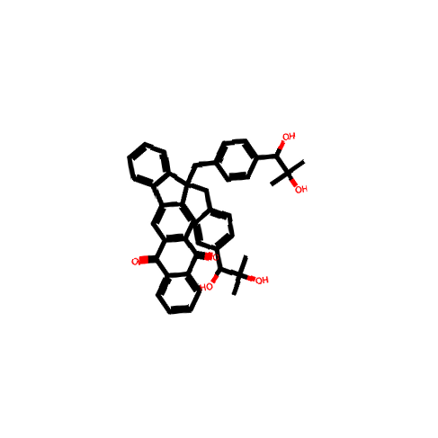 CC(C)(O)C(O)c1ccc(CC2(Cc3ccc(C(O)C(C)(C)O)cc3)c3ccccc3-c3cc4c(cc32)C(=O)c2ccccc2C4=O)cc1